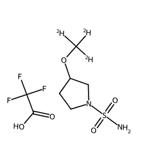 O=C(O)C(F)(F)F.[2H]C([2H])([2H])OC1CCN(S(N)(=O)=O)C1